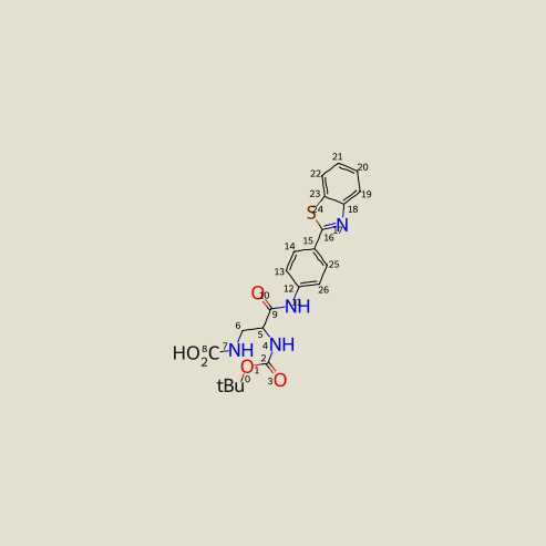 CC(C)(C)OC(=O)NC(CNC(=O)O)C(=O)Nc1ccc(-c2nc3ccccc3s2)cc1